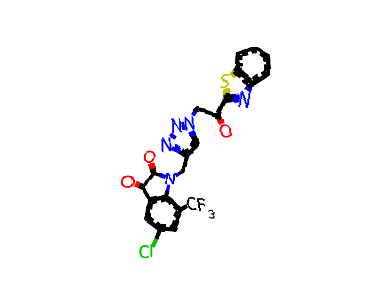 O=C(Cn1cc(CN2C(=O)C(=O)c3cc(Cl)cc(C(F)(F)F)c32)nn1)c1nc2ccccc2s1